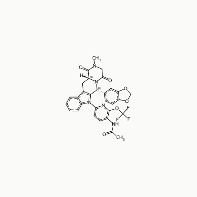 CC(=O)Nc1ccc(-n2c3c(c4ccccc42)C[C@@H]2C(=O)N(C)CC(=O)N2[C@@H]3c2ccc3c(c2)OCO3)nc1OC(F)(F)F